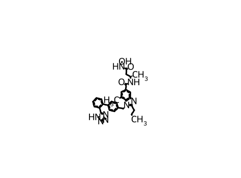 CCCc1nc2cc(C(=O)N[C@H](C)CC(=O)NO)cc(C)c2n1Cc1ccc(-c2ccccc2-c2nnn[nH]2)cc1